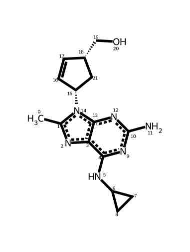 Cc1nc2c(NC3CC3)nc(N)nc2n1[C@@H]1C=C[C@H](CO)C1